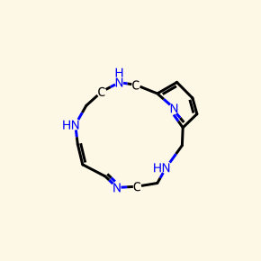 C1=C\NCCNCc2cccc(n2)CNCC/N=C/1